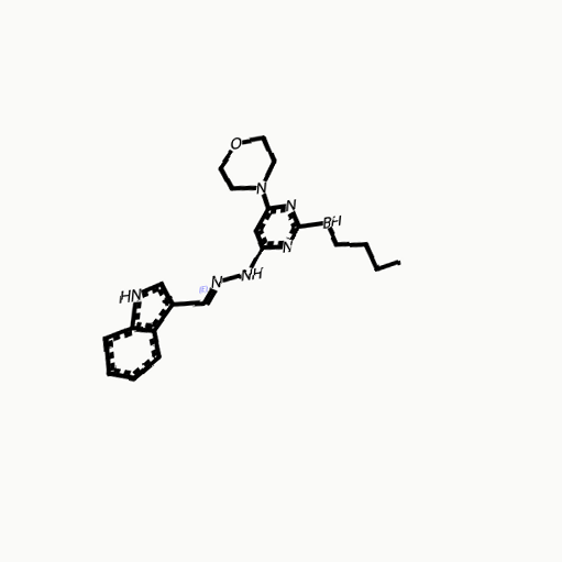 CCCCBc1nc(N/N=C/c2c[nH]c3ccccc23)cc(N2CCOCC2)n1